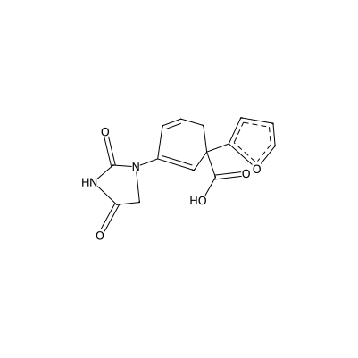 O=C1CN(C2=CC(C(=O)O)(c3ccco3)CC=C2)C(=O)N1